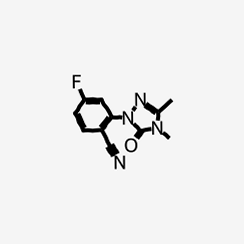 Cc1nn(-c2cc(F)ccc2C#N)c(=O)n1C